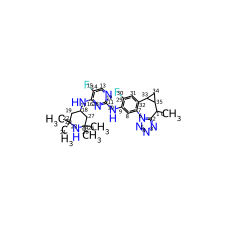 CC1c2nnnn2-c2cc(Nc3ncc(F)c(NC4CC(C)(C)NC(C)(C)C4)n3)c(F)cc2C2CC12